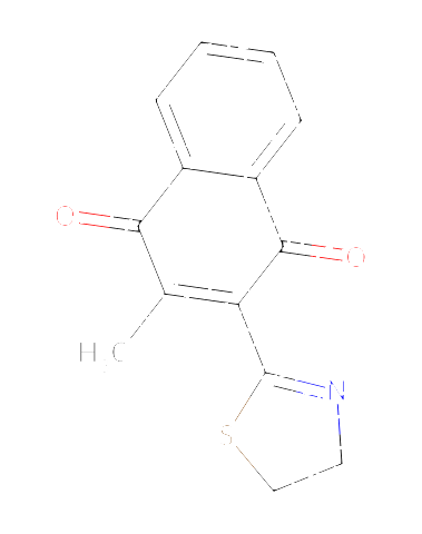 CC1=C(C2=NCCS2)C(=O)c2ccccc2C1=O